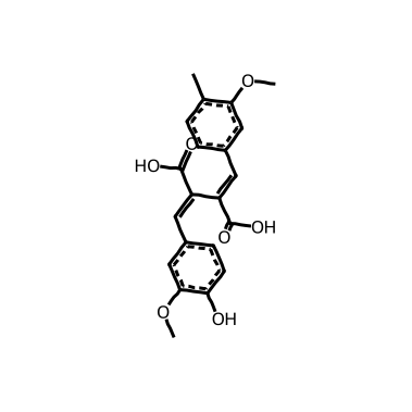 COc1cc(/C=C(C(=O)O)\C(=C/c2ccc(O)c(OC)c2)C(=O)O)ccc1C